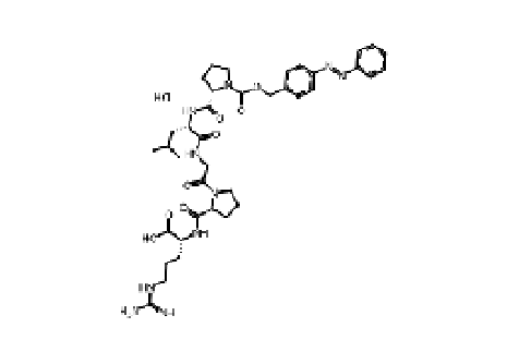 CC(C)C[C@H](NC(=O)[C@@H]1CCCN1C(=O)OCc1ccc(N=Nc2ccccc2)cc1)C(=O)NCC(=O)N1CCC[C@H]1C(=O)N[C@H](CCCNC(=N)N)C(=O)O.Cl